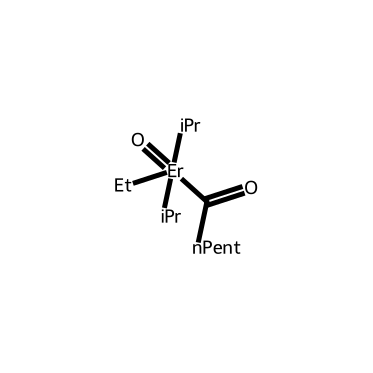 CCCCC[C](=O)[Er](=[O])([CH2]C)([CH](C)C)[CH](C)C